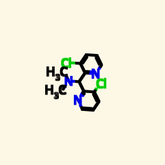 CN(C)C(c1ncccc1Cl)c1ncccc1Cl